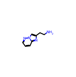 NCCc1cn2ncccc2n1